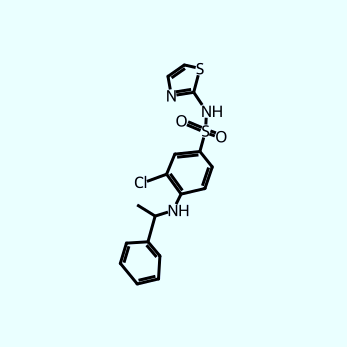 CC(Nc1ccc(S(=O)(=O)Nc2nccs2)cc1Cl)c1ccccc1